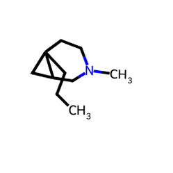 CCCC12CCN(C)CC1C2